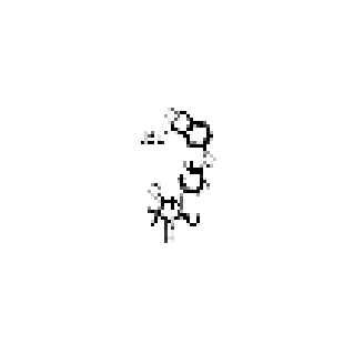 CC1(C)NC(=O)N(c2cnc(Oc3ccc4c(c3)[C@H](C(C)(C)C)OC4)nc2)C1=O